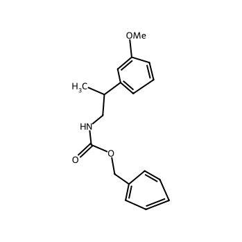 COc1cccc(C(C)CNC(=O)OCc2ccccc2)c1